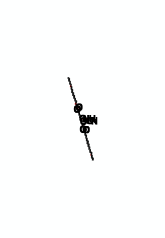 CCCCCCCCCCCCCCCCCCCCCC(=O)OCCCCCCC(CCCCCCOC(=O)CCCCCCCCCCCCCCCCCCCCC)OC(=O)NCCOCCN(C)C